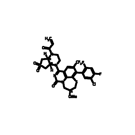 C=CC(=O)N1CCN(c2nc(=O)n3c4c(c(-c5cc(Cl)c(F)cc5F)c(C(F)(F)F)cc24)SC[C@@H](OC)C3)[C@@H]2CS(=O)(=O)C[C@@H]21